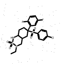 CCN1CC2CC(c3cc(F)ccc3F)(S(=O)(=O)c3ccc(Cl)cc3)CCC2NS1(=O)=O